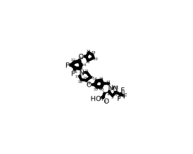 O=C(O)C[C@@H]1CC(C(F)(F)F)=NN1Cc1ccc(OC2CCN(c3cc(OC4CCCC4)cc(F)c3F)CC2)cc1